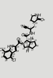 N#CC(C[C@@H]1CCNC1=O)NC(=O)[C@@H]1[C@H]2CCC[C@H]2CN1C(=O)c1cc2c(Cl)ccc(Cl)c2[nH]1